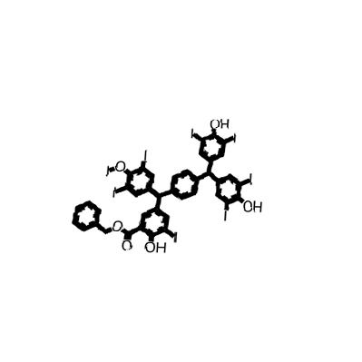 O=C(OCc1ccccc1)c1cc(C(c2ccc(C(c3cc(I)c(O)c(I)c3)c3cc(I)c(O)c(I)c3)cc2)c2cc(I)c(OI)c(I)c2)cc(I)c1O